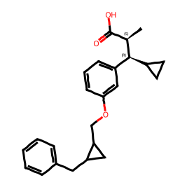 C[C@H](C(=O)O)[C@H](c1cccc(OCC2CC2Cc2ccccc2)c1)C1CC1